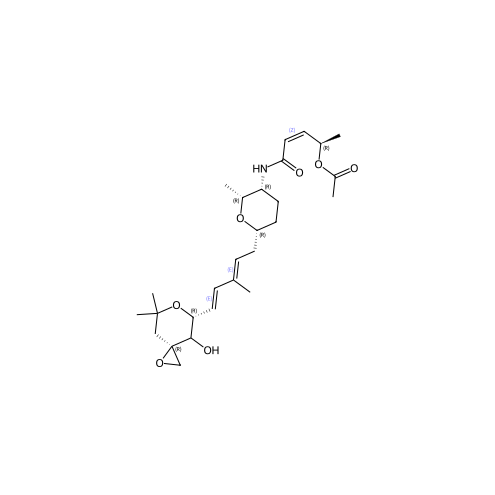 CC(=O)O[C@H](C)/C=C\C(=O)N[C@@H]1CC[C@H](C/C=C(C)/C=C/[C@H]2OC(C)(C)C[C@@]3(CO3)C2O)O[C@@H]1C